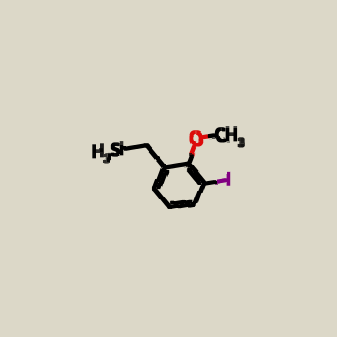 COc1c(I)cccc1C[SiH3]